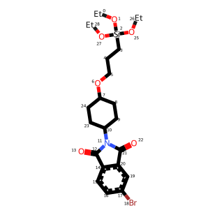 CCO[Si](CCCOC1CCC(N2C(=O)c3ccc(Br)cc3C2=O)CC1)(OCC)OCC